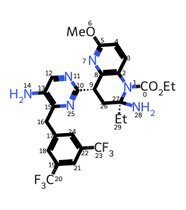 CCOC(=O)N1c2ccc(OC)nc2[C@@H](c2ncc(N)c(Cc3cc(C(F)(F)F)cc(C(F)(F)F)c3)n2)C[C@@]1(N)CC